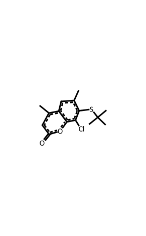 Cc1cc2c(C)cc(=O)oc2c(Cl)c1SC(C)(C)C